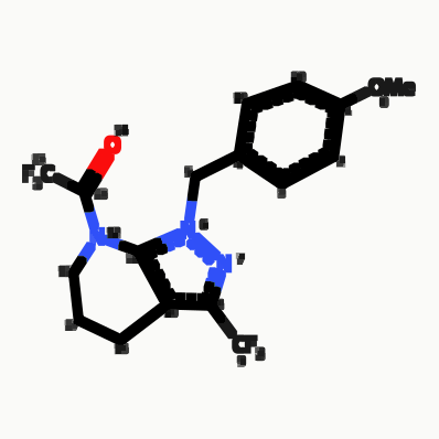 COc1ccc(Cn2nc(C(F)(F)F)c3c2N(C(=O)C(F)(F)F)CCC3)cc1